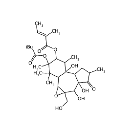 C/C=C(\C)C(=O)OC1C(C)C2(O)C3CC(C)C(=O)C3(O)C(O)C3(CO)OC3C2C(C)(C)C1(C)OC(=O)C(C)CC